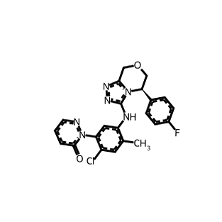 Cc1cc(Cl)c(-n2ncccc2=O)cc1Nc1nnc2n1[C@H](c1ccc(F)cc1)COC2